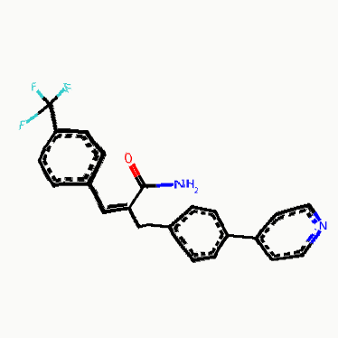 NC(=O)/C(=C\c1ccc(C(F)(F)F)cc1)Cc1ccc(-c2ccncc2)cc1